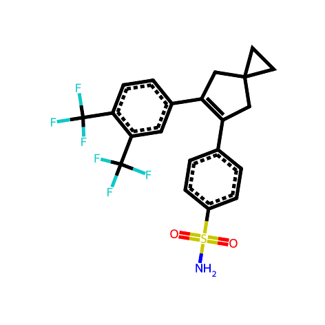 NS(=O)(=O)c1ccc(C2=C(c3ccc(C(F)(F)F)c(C(F)(F)F)c3)CC3(CC3)C2)cc1